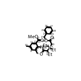 CCC(C(=O)Nc1c(C)cc(C)cc1C(=O)OC)[N+](CC)(CC)CC(=O)OCc1ccccc1